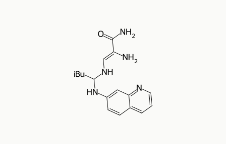 CCC(C)C(N/C=C(\N)C(N)=O)Nc1ccc2cccnc2c1